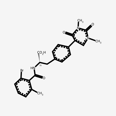 Cc1cccc(Br)c1C(=O)N[C@@H](Cc1ccc(-c2cn(C)c(=O)n(C)c2=O)cc1)C(=O)O